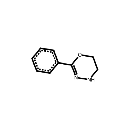 c1ccc(C2=NNCCO2)cc1